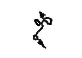 CN(C)Cc1cccc(C=CC(=O)c2ccccc2CN(C)C)c1